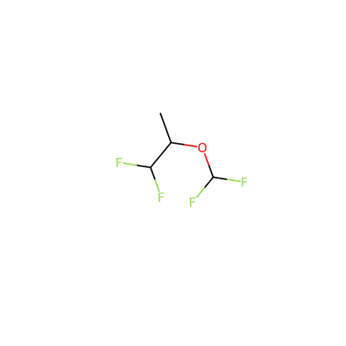 CC(OC(F)F)C(F)F